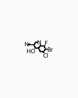 N#Cc1cnc2c(F)c(Br)c(Cl)cc2c1O